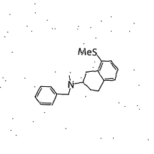 CSc1cccc2c1CC(N(C)Cc1ccccc1)CC2